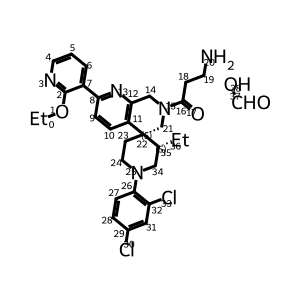 CCOc1ncccc1-c1ccc2c(n1)CN(C(=O)CCN)C[C@]21CCN(c2ccc(Cl)cc2Cl)C[C@H]1CC.O=CO